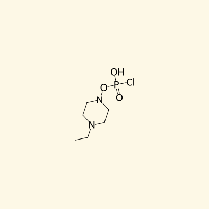 CCN1CCN(OP(=O)(O)Cl)CC1